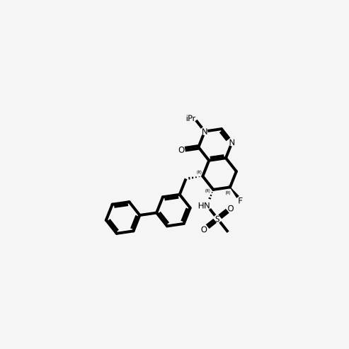 CC(C)n1cnc2c(c1=O)[C@@H](Cc1cccc(-c3ccccc3)c1)[C@@H](NS(C)(=O)=O)[C@H](F)C2